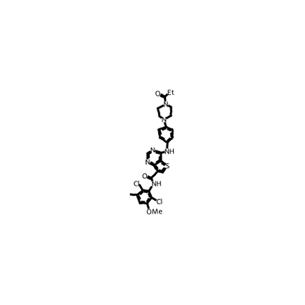 CCC(=O)N1CCN(c2ccc(Nc3ncnc4c(C(=O)Nc5c(Cl)c(C)cc(OC)c5Cl)csc34)cc2)CC1